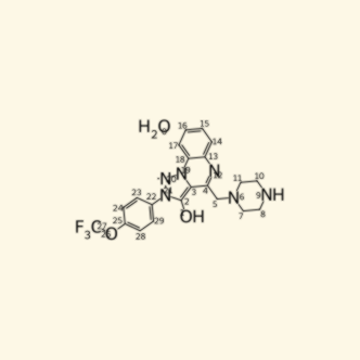 O.OC1=C2C(CN3CCNCC3)=Nc3ccccc3N2[N]N1c1ccc(OC(F)(F)F)cc1